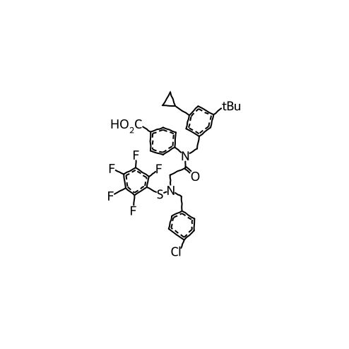 CC(C)(C)c1cc(CN(C(=O)CN(Cc2ccc(Cl)cc2)Sc2c(F)c(F)c(F)c(F)c2F)c2ccc(C(=O)O)cc2)cc(C2CC2)c1